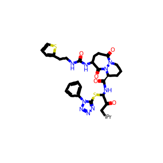 CC(C)CC(=O)C(NC(=O)[C@@H]1CCCN2C(=O)CCC(NC(=O)NCCc3cccs3)C(=O)N12)Sc1nnnn1-c1ccccc1